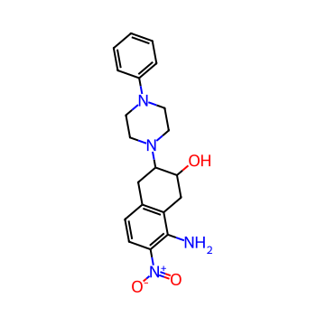 Nc1c([N+](=O)[O-])ccc2c1CC(O)C(N1CCN(c3ccccc3)CC1)C2